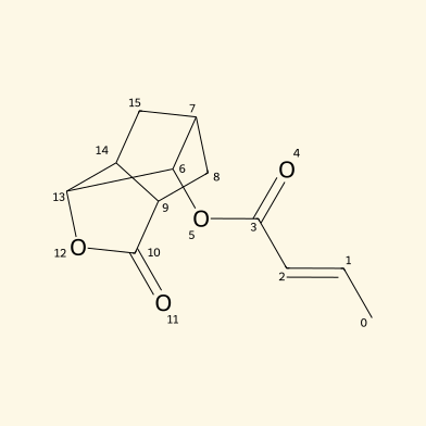 CC=CC(=O)OC1C2CC3C(=O)OC1C3C2